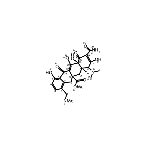 CNCc1ccc(O)c2c1C[C@@]1(C(=O)OC)C[C@H]3[C@H](N(C)C)C(O)=C(C(N)=O)C(=O)[C@@]3(O)C(O)=C1C2=O